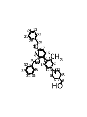 Cc1cc(N2CCC(CO)CC2)ccc1-c1ccc(OCc2ccccc2)nc1OCc1ccccc1